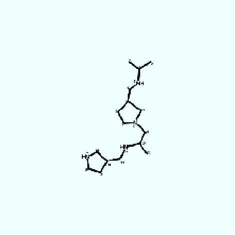 CC(C)NCC1CCN(CC(C)NC[C@H]2CCNC2)C1